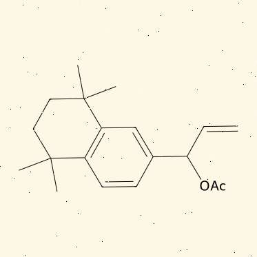 C=CC(OC(C)=O)c1ccc2c(c1)C(C)(C)CCC2(C)C